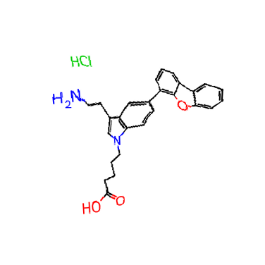 Cl.NCCc1cn(CCCCC(=O)O)c2ccc(-c3cccc4c3oc3ccccc34)cc12